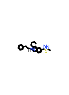 Cc1nnc(-c2ccc3c(c2)[C@]24CCCCC2[C@H](C3)N(CCc2ccccc2)CC4)s1